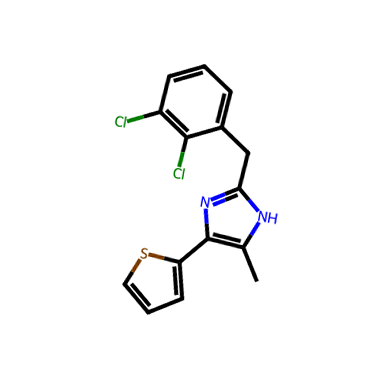 Cc1[nH]c(Cc2cccc(Cl)c2Cl)nc1-c1cccs1